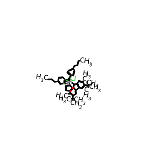 CCCCc1ccc([C](c2ccc(CCCC)cc2)=[Zr]([Cl])([Cl])([CH]2C=CC=C2)[CH]2c3cc(C)c(C(C)(C)C)cc3-c3cc(C(C)(C)C)c(C)cc32)cc1